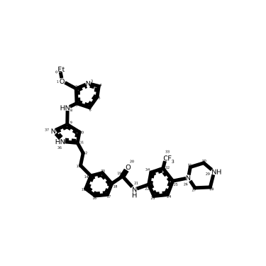 CCOc1ncccc1Nc1cc(CCc2cccc(C(=O)Nc3ccc(N4CCNCC4)c(C(F)(F)F)c3)c2)[nH]n1